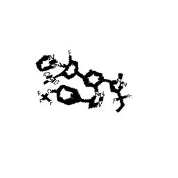 CCC(F)(F)c1cc(-c2ccc(-c3cc(F)c(-n4cccn4)c(S(C)(=O)=O)c3)cc2-n2nncc2-c2ccc(OC(F)(F)F)cc2)n(C)n1